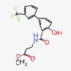 COC(=O)CCNC(=O)c1cc(-c2cccc(C(F)(F)F)c2)ccc1O